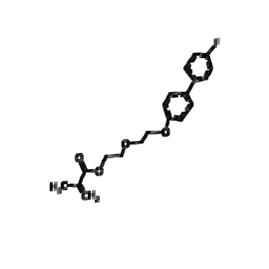 C=C(C)C(=O)OCCOCCOc1ccc(-c2ccc(F)cc2)cc1